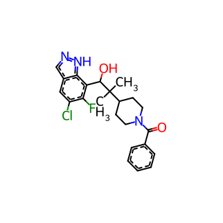 CC(C)(C1CCN(C(=O)c2ccccc2)CC1)C(O)c1c(F)c(Cl)cc2cn[nH]c12